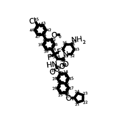 COc1cc(C(F)(F)[C@@H](NS(=O)(=O)c2ccc3cc(OC4CCCC4)ccc3c2)C(=O)N2CCC(N)CC2)ccc1-c1ccc(Cl)cc1